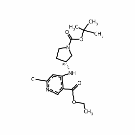 CCOC(=O)c1cnc(Cl)cc1N[C@@H]1CCN(C(=O)OC(C)(C)C)C1